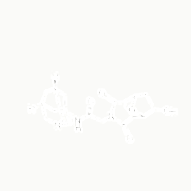 O=C(CN1C(=O)C2C3CC(O)C(O3)C2C1=O)N[C@@]12C[C@@H]3C[C@@H](C[N@](C3)C1)C2